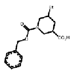 CCC1CC(C(=O)O)CN(C(=O)OCc2ccccc2)C1